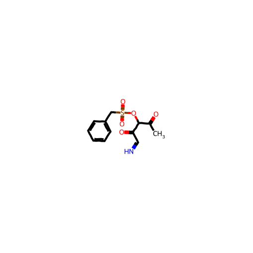 CC(=O)C(OS(=O)(=O)Cc1ccccc1)C(=O)C=N